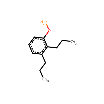 CCCc1cccc(OP)c1CCC